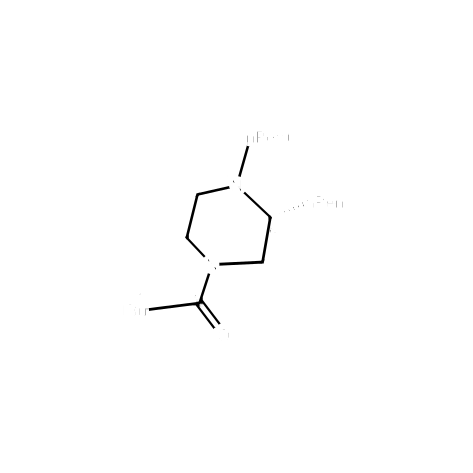 CCCCC[C@@H]1CN(C(=O)C(C)(C)C)CCN1CCCCC